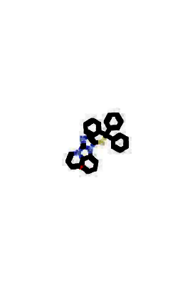 C1=CN2c3ncc(SC(c4ccccc4)(c4ccccc4)c4ccccc4)n3C3=CCC=CC32C=C1